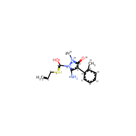 C=CC[SH]=C(O)n1c(N)c(-c2ccccc2C)c(=O)n1C(C)C